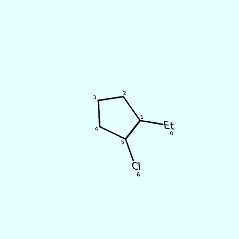 [CH2]CC1CCCC1Cl